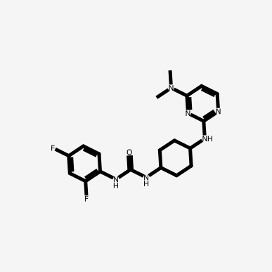 CN(C)c1ccnc(NC2CCC(NC(=O)Nc3ccc(F)cc3F)CC2)n1